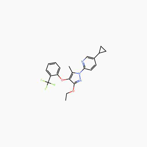 CCOc1nn(-c2ccc(C3CC3)cn2)c(C)c1Oc1ccccc1C(F)(F)F